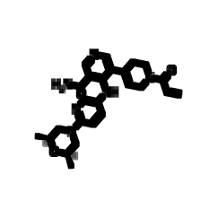 C=CC(=O)N1CC=C(c2cncc(C(N)=O)c2Nc2ccc(N3C[C@@H](C)O[C@@H](C)C3)nc2)CC1